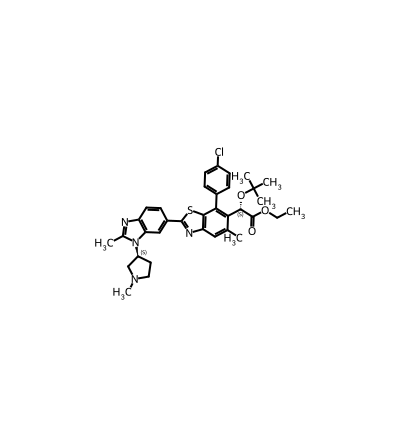 CCOC(=O)[C@@H](OC(C)(C)C)c1c(C)cc2nc(-c3ccc4nc(C)n([C@H]5CCN(C)C5)c4c3)sc2c1-c1ccc(Cl)cc1